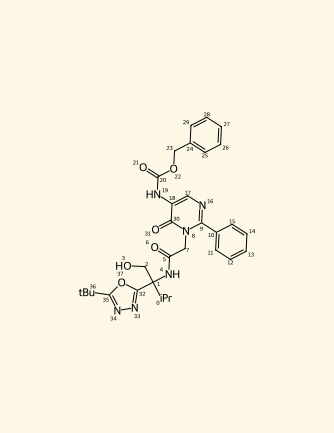 CC(C)C(CO)(NC(=O)Cn1c(-c2ccccc2)ncc(NC(=O)OCc2ccccc2)c1=O)c1nnc(C(C)(C)C)o1